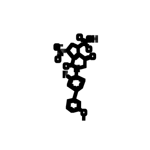 COc1cccc(-c2ccc(N3CC(=O)C4=C(C3=O)C([N+](=O)[O-])CC4S(=O)(=O)O)c(F)c2)c1